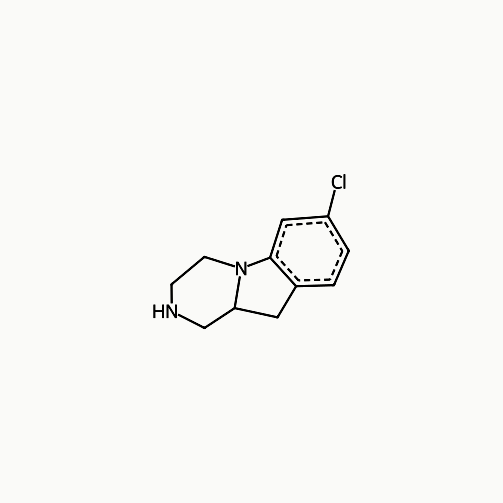 Clc1ccc2c(c1)N1CCNCC1C2